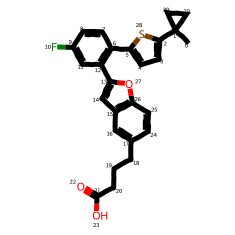 CC1(c2ccc(-c3ccc(F)cc3-c3cc4cc(CCCC(=O)O)ccc4o3)s2)CC1